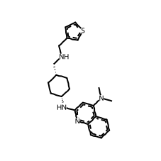 CN(C)c1cc(N[C@H]2CC[C@@H](CNCc3ccsc3)CC2)nc2ccccc12